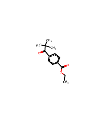 CCOC(=O)c1ccc(C(=O)C(C)(C)C)cc1